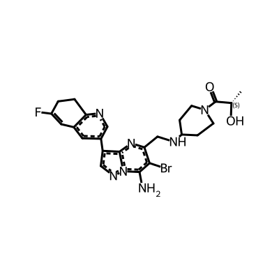 C[C@H](O)C(=O)N1CCC(NCc2nc3c(-c4cnc5c(c4)C=C(F)CC5)cnn3c(N)c2Br)CC1